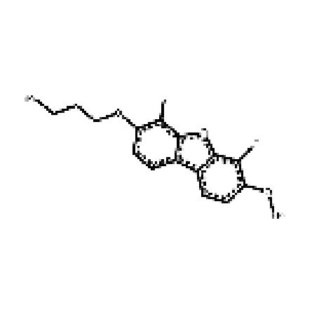 CCCOc1ccc2c(oc3c(F)c(OCCCC(C)C)ccc32)c1F